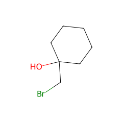 OC1(CBr)CCCCC1